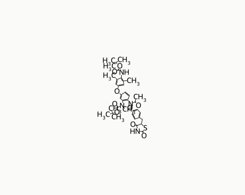 CC(=O)N(Oc1ccc(CC2SC(=O)NC2=O)cc1)c1ccc(Oc2cc(C)c(NC(=O)OC(C)(C)C)c(C)c2)cc1N(C)C(=O)OC(C)(C)C